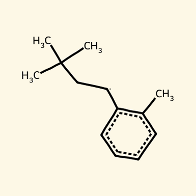 Cc1ccccc1[CH]CC(C)(C)C